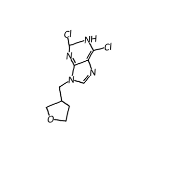 ClC1=c2ncn(CC3CCOC3)c2=NC(Cl)N1